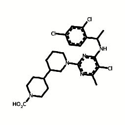 Cc1nc(N2CCCC(C3CCN(C(=O)O)CC3)C2)nc(NC(C)c2ccc(Cl)cc2Cl)c1Cl